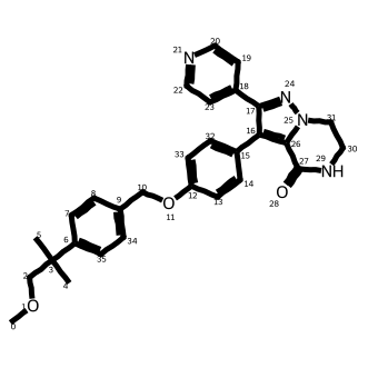 COCC(C)(C)c1ccc(COc2ccc(-c3c(-c4ccncc4)nn4c3C(=O)NCC4)cc2)cc1